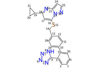 c1ccc(-c2nnn[nH]2)c(-c2ccc(CSc3cc(C4CC4)nc4ccnn34)cc2)c1